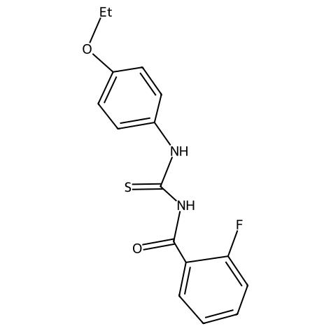 CCOc1ccc(NC(=S)NC(=O)c2ccccc2F)cc1